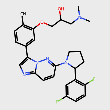 CN(C)CC(O)COc1cc(-c2cnc3ccc(N4CCCC4c4cc(F)ccc4F)nn23)ccc1C#N